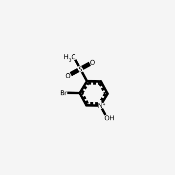 CS(=O)(=O)c1cc[n+](O)cc1Br